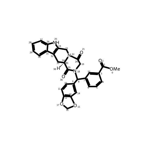 COC(=O)c1cccc(C(c2ccc3c(c2)OCO3)N2CC(=O)N3Cc4[nH]c5ccccc5c4C[C@@H]3C2=O)c1